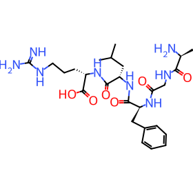 CC(C)C[C@H](NC(=O)[C@H](Cc1ccccc1)NC(=O)CNC(=O)[C@H](C)N)C(=O)N[C@@H](CCCNC(=N)N)C(=O)O